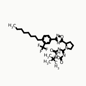 CCCCCCCCc1ccc(-c2noc(C3CCCN3/C(=N/C(=O)O)NC(=O)OC(C)(C)C)n2)cc1C(F)(F)F